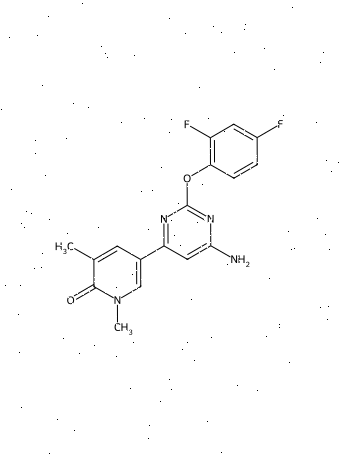 Cc1cc(-c2cc(N)nc(Oc3ccc(F)cc3F)n2)cn(C)c1=O